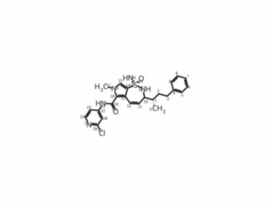 C[C@@H](CCc1ccccc1)C1C=Cc2c(cn(C)c2C(=O)Nc2ccnc(Cl)c2)S(=N)(=O)N1